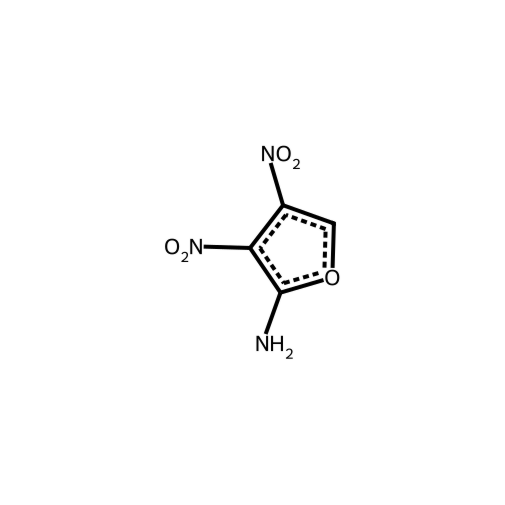 Nc1occ([N+](=O)[O-])c1[N+](=O)[O-]